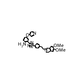 COc1cc2c(cc1OC)CN(CCc1ccc(-n3nnc(-c4cc(Oc5ccncc5)ccc4N)n3)cc1)CC2